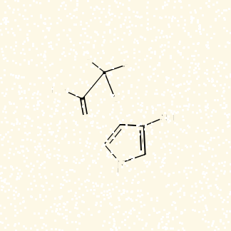 Nc1cc[nH]c1.O=C(O)C(F)(F)F